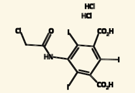 Cl.Cl.O=C(CCl)Nc1c(I)c(C(=O)O)c(I)c(C(=O)O)c1I